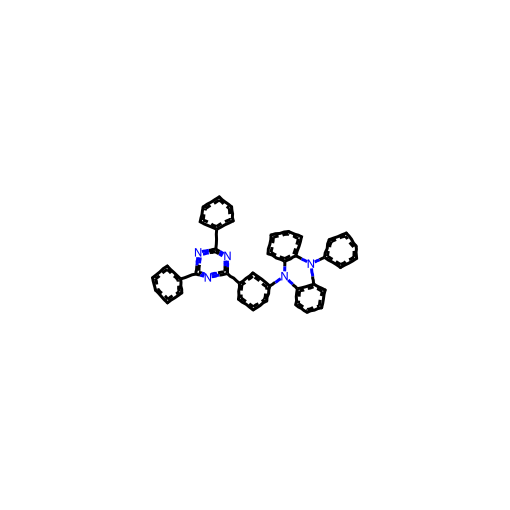 c1ccc(-c2nc(-c3ccccc3)nc(-c3cccc(N4c5ccccc5N(c5ccccc5)c5ccccc54)c3)n2)cc1